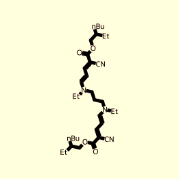 CCCCC(CC)COC(=O)/C(C#N)=C/C=C/N(CC)CCCN(/C=C/C=C(\C#N)C(=O)OCC(CC)CCCC)CC